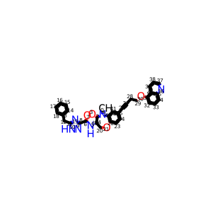 CN1C(=O)[C@@H](NC(=O)c2n[nH]c(Cc3ccccc3)n2)COc2ccc(C#CCCOc3cccc4ncccc34)cc21